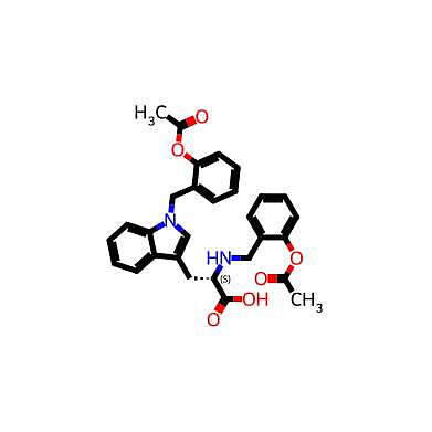 CC(=O)Oc1ccccc1CN[C@@H](Cc1cn(Cc2ccccc2OC(C)=O)c2ccccc12)C(=O)O